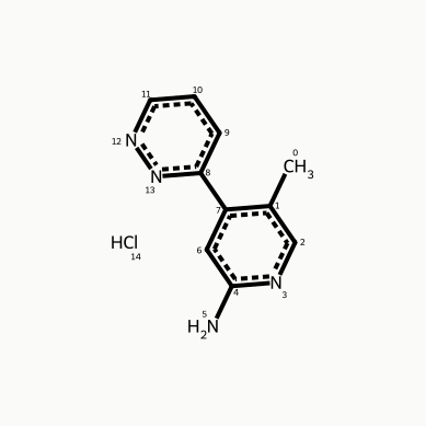 Cc1cnc(N)cc1-c1cccnn1.Cl